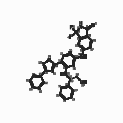 O=C1NC(F)(F)c2nc(Nc3ncc(-c4nc(-c5cccnc5)no4)c(N[C@H](CO)c4ccccc4)n3)ccc21